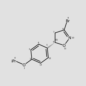 CC(C)Oc1ccc([C@@H]2CC(Br)=NO2)cc1